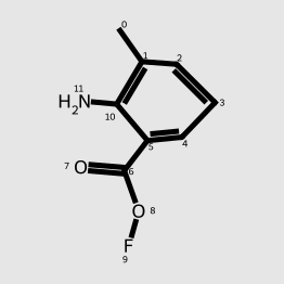 Cc1cccc(C(=O)OF)c1N